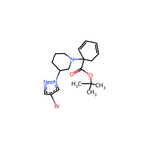 CC(C)(C)OC(=O)C1(N2CCCC(n3cc(Br)cn3)C2)C=CC=CC1